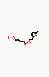 Cc1ccc(CCOC(C)CCCCO)s1